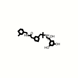 Cc1cccc(CNC(=O)Cc2cccc(CC(C)(C)NC[C@H](O)c3cc(O)cc(O)c3)c2)c1